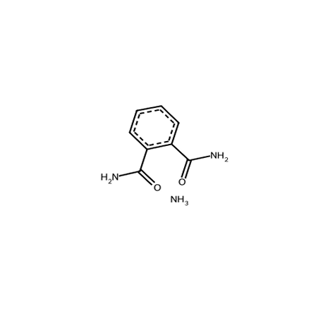 N.NC(=O)c1ccccc1C(N)=O